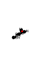 N#Cc1ccc(S(=O)(=O)N(Cc2ccc(C(=O)NCC(O)c3ccccc3)cc2)Cc2cccnc2)cc1